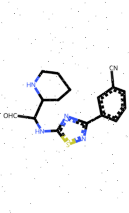 N#Cc1cccc(-c2nsc(NC(C=O)C3CCCCN3)n2)c1